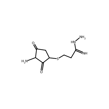 N=C(CCSC1CC(=O)C(N)C1=O)NN